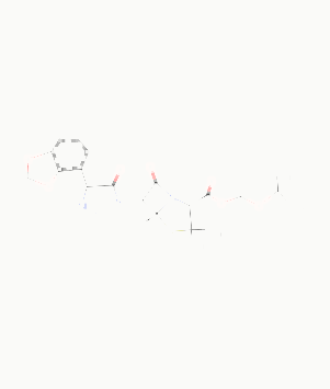 CC(C)OCOC(=O)[C@@H]1N2C(=O)[C@@H](NC(=O)C(N)c3cccc4c3OCO4)[C@H]2SC1(C)C